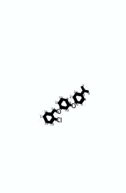 CC(C)c1ccc(Oc2cccc(OCc3ccccc3Cl)c2)cc1